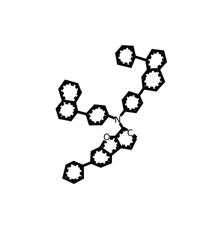 c1ccc(-c2ccc3c(c2)oc2c(N(c4ccc(-c5ccc6cccc(-c7ccccc7)c6c5)cc4)c4ccc(-c5cccc6ccccc56)cc4)cccc23)cc1